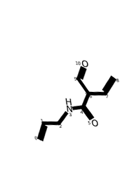 C=CCNC(=O)[C](C=C)C=O